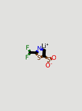 O=S([O-])c1cnc(C(F)F)s1.[Li+]